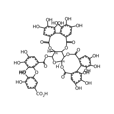 O=C(O)c1cc(O)c(O)c(Oc2c(C(=O)OC3O[C@@H]4OC(=O)c5cc(O)c(O)c(O)c5-c5c(cc(O)c(O)c5O)C(=O)OC4C4OC(=O)c5cc(O)c(O)c(O)c5-c5c(cc(O)c(O)c5O)C(=O)O[C@@H]34)cc(O)c(O)c2O)c1